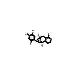 Fc1cc(Cl)c(Cl)cc1CN1[C@H]2CC[C@@H]1c1ccnc(F)c1C2